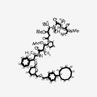 CC[C@H](C)[C@@H]([C@@H](CC(=O)N1CCC[C@H]1[C@H](OC)[C@@H](C)C(=O)N[C@H](C)[C@@H](OC1CCCC(COCc2ccc(C3CCCCCCCCC3)cc2)O1)c1ccccc1)OC)N(C)C(=O)[C@@H](NC(=O)[C@@H](NC)C(C)C)C(C)C